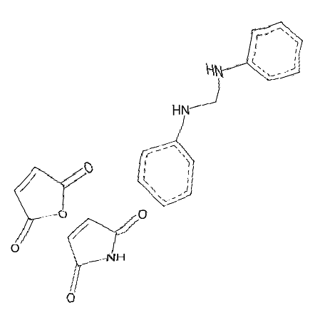 O=C1C=CC(=O)N1.O=C1C=CC(=O)O1.c1ccc(NCNc2ccccc2)cc1